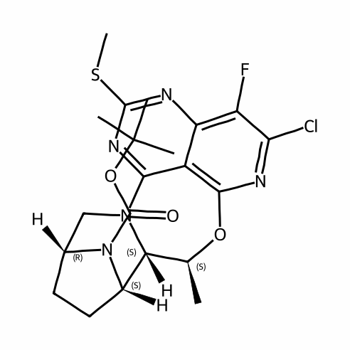 CSc1nc2c3c(nc(Cl)c(F)c3n1)O[C@@H](C)[C@@H]1[C@@H]3CC[C@H](CN21)N3C(=O)OC(C)(C)C